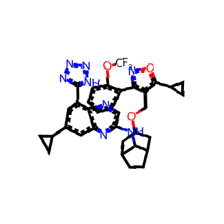 FC(F)(F)Oc1ccccc1-c1noc(C2CC2)c1COC1CC2CCC(C1)C2Nc1cnc2c(-c3nnn[nH]3)cc(C3CC3)cc2n1